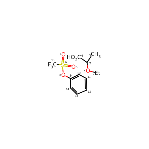 CCOC(C)C(=O)O.O=S(=O)(Oc1ccccc1)C(F)(F)F